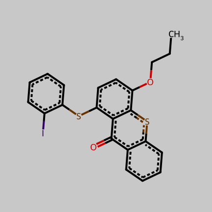 CCCOc1ccc(Sc2ccccc2I)c2c(=O)c3ccccc3sc12